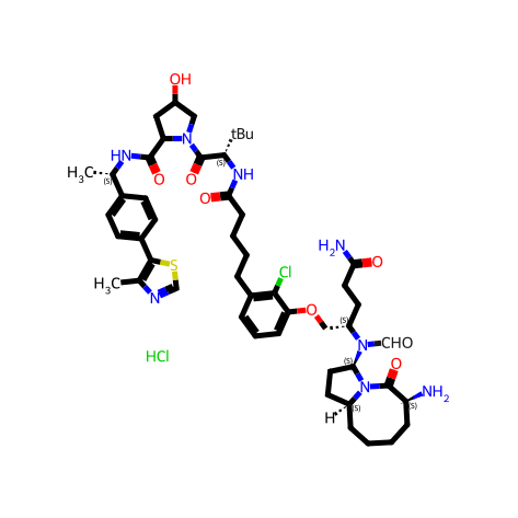 Cc1ncsc1-c1ccc([C@H](C)NC(=O)C2CC(O)CN2C(=O)[C@@H](NC(=O)CCCCc2cccc(OC[C@H](CCC(N)=O)N(C=O)[C@@H]3CC[C@@H]4CCCC[C@H](N)C(=O)N43)c2Cl)C(C)(C)C)cc1.Cl